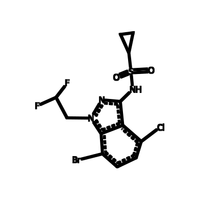 O=S(=O)(Nc1nn(CC(F)F)c2c(Br)ccc(Cl)c12)C1CC1